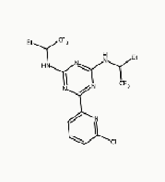 CCC(Nc1nc(NC(CC)C(F)(F)F)nc(-c2cccc(Cl)n2)n1)C(F)(F)F